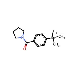 [CH3][Sn]([CH3])([CH3])[c]1ccc(C(=O)N2CCCC2)cc1